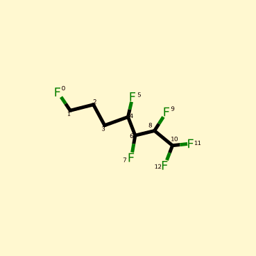 FCCCC(F)C(F)C(F)C(F)F